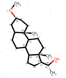 CO[C@H]1CC[C@@]2(C)C(CCC3C2CC[C@@]2(C)C3CC[C@@H]2[C@@H](C)O)C1